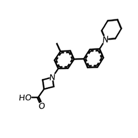 Cc1cc(-c2cccc(N3CCCCC3)c2)cc(N2CC(C(=O)O)C2)c1